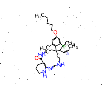 C/C=C\C(CC)C1(c2c(C)cc(OCCCCC)cc2F)CCN/C=N/C2=C(CCCN2)C(=O)NCC1